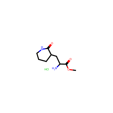 COC(=O)C(N)CC1CCCNC1=O.Cl